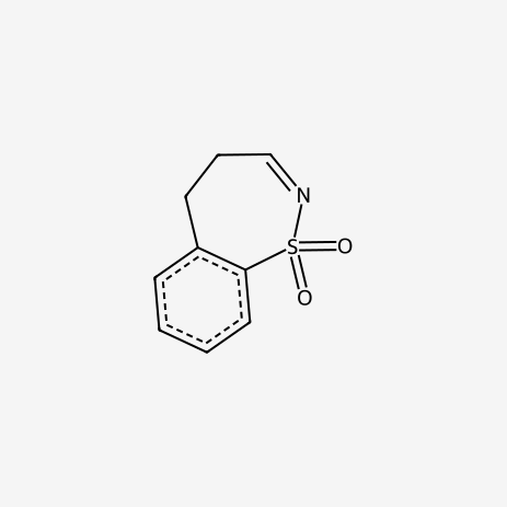 O=S1(=O)N=CCCc2ccccc21